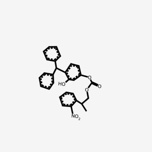 CC(COC(=O)Oc1ccc(C(c2ccccc2)c2ccccc2)c(O)c1)c1ccccc1[N+](=O)[O-]